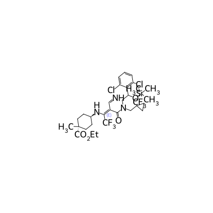 CCOC(=O)[C@]1(C)CC[C@@H](N/C(=C(\C=N)C(=O)N(CC(O[Si](C)(C)C)c2c(Cl)cccc2Cl)CC2(C(F)(F)F)CC2)C(F)(F)F)CC1